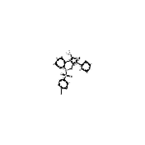 Cc1ccc(S(=O)(=O)N2Cc3c(-c4ccccc4)[nH]c([N+](=O)[O-])c3-c3ccccc32)cc1